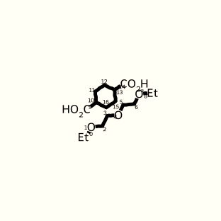 CCOCCOCCOCC.O=C(O)C1CCC(C(=O)O)CC1